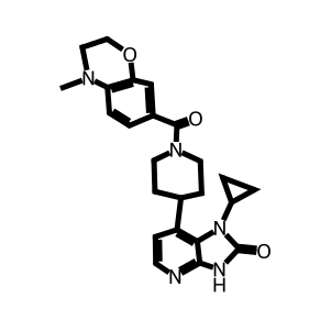 CN1CCOc2cc(C(=O)N3CCC(c4ccnc5[nH]c(=O)n(C6CC6)c45)CC3)ccc21